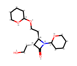 O=C1[C@H](CCO)[C@@H](CCOC2CCCCO2)N1C1CCCCO1